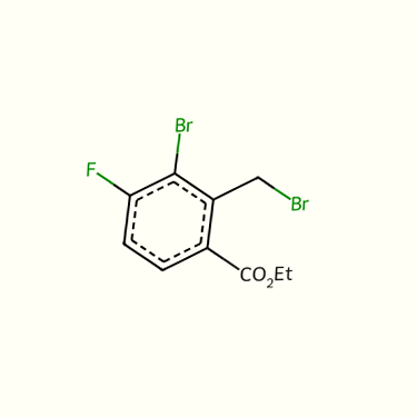 CCOC(=O)c1ccc(F)c(Br)c1CBr